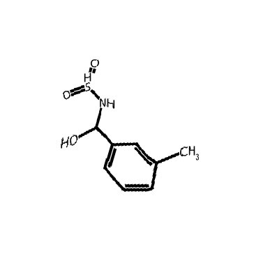 Cc1cccc(C(O)N[SH](=O)=O)c1